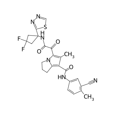 Cc1ccc(NC(=O)c2c(C)c(C(=O)C(=O)NC3(c4nncs4)CC(F)(F)C3)n3c2CCC3)cc1C#N